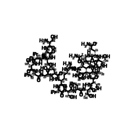 CC(C)C[C@H](NC(=O)[C@H](CC(N)=O)NC(=O)[C@H](CCC(N)=O)NC(=O)[C@H](CO)NC(=O)[C@H](C)NC(=O)[C@H](Cc1c[nH]cn1)NC(=O)[C@H](CS)NC(=O)[C@@H](NC(=O)[C@H](CC(C)C)NC(=O)[C@H](CO)NC(=O)[C@@H](NC(=O)[C@H](CCCNC(=N)N)NC(=O)[C@H](CC(=O)O)NC(=O)CNC(=O)[C@H](CC(C)C)NC(=O)[C@H](CO)NC(=O)[C@@H](NC(=O)[C@H](CO)NC(=O)[C@H](CC(C)C)NC(=O)[C@@H](N)CO)C(C)C)C(C)C)[C@@H](C)O)C(=O)O